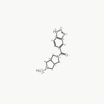 O=C(O)N1CC2CN(C(=O)c3ccc4[nH]nnc4c3)CC2C1